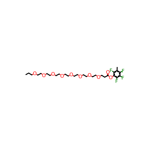 CCCOCCOCCOCCOCCOCCOCCOCCOCCC(=O)Oc1c(F)c(C)c(F)c(F)c1F